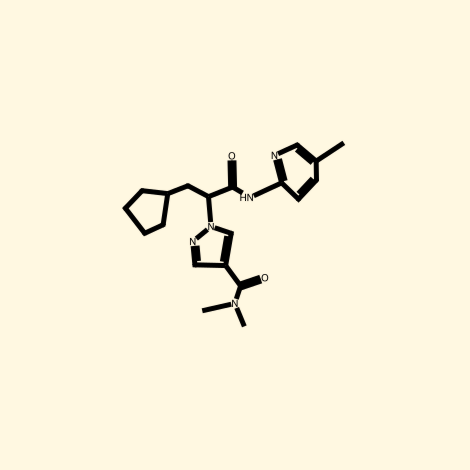 Cc1ccc(NC(=O)C(CC2CCCC2)n2cc(C(=O)N(C)C)cn2)nc1